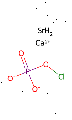 O=P([O-])([O-])OCl.[Ca+2].[SrH2]